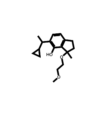 COCCOC1(C)CCc2ccc(C(C)C3CC3)c(O)c21